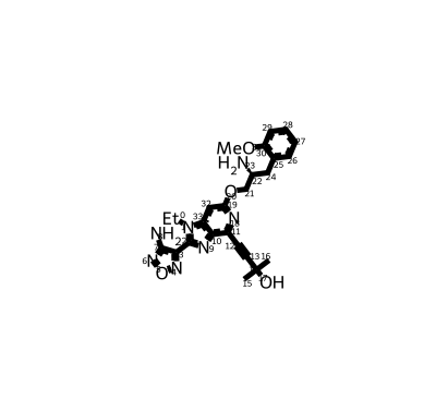 CCn1c(-c2nonc2N)nc2c(C#CC(C)(C)O)nc(OC[C@@H](N)Cc3ccccc3OC)cc21